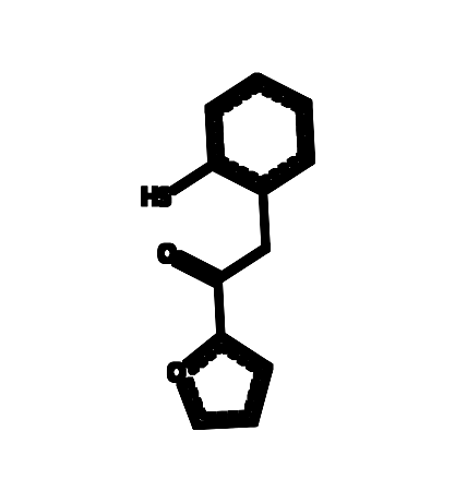 O=C(Cc1ccccc1S)c1ccco1